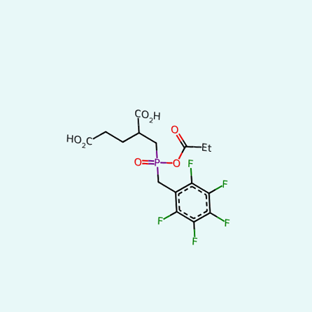 CCC(=O)OP(=O)(Cc1c(F)c(F)c(F)c(F)c1F)CC(CCC(=O)O)C(=O)O